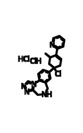 CC1CC(Cl)(c2ccc3c(c2)CNCc2nncn2-3)CC=C1c1ccccn1.Cl.Cl